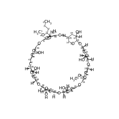 CCCC(OC)[C@@H]1CC2CO[C@@H]1C[C@@H]1COC(O[C@@H]3CO[C@H](O[C@@H]4COC(OC5CO[C@H](O[C@@H]6CO[C@H](O[C@@H]7CO[C@H](CC8COC(O2)C(O)C8)[C@H](O)C7)[C@H](O)C6)[C@H](O)C5)C(OC)C4)[C@H](O)C3)[C@H](O)C1